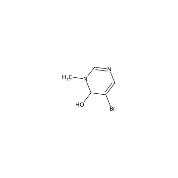 CN1[C]=NC=C(Br)C1O